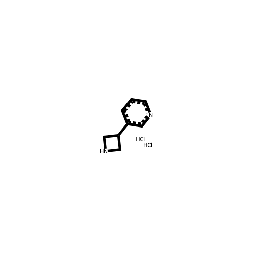 Cl.Cl.c1cncc(C2CNC2)c1